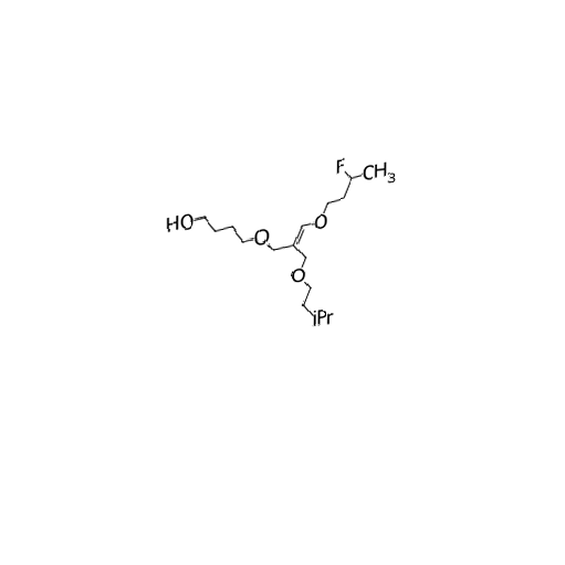 CC(C)CCOC/C(=C\OCCC(C)F)COCCCCO